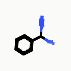 N#[N+]C(N)c1ccccc1